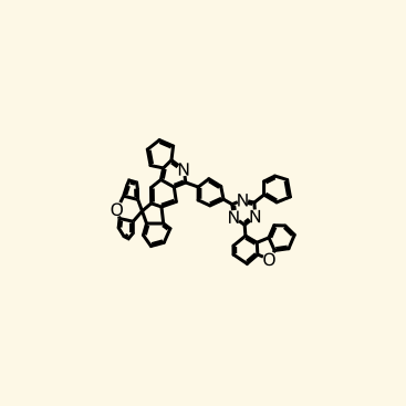 c1ccc(-c2nc(-c3ccc(-c4nc5ccccc5c5cc6c(cc45)-c4ccccc4C64c5ccccc5Oc5ccccc54)cc3)nc(-c3cccc4oc5ccccc5c34)n2)cc1